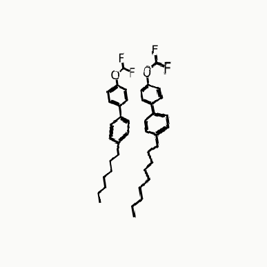 CCCCCCCCCc1ccc(-c2ccc(OC(F)F)cc2)cc1.CCCCCCCc1ccc(-c2ccc(OC(F)F)cc2)cc1